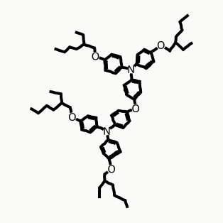 CCCCC(CC)COc1ccc(N(c2ccc(OCC(CC)CCCC)cc2)c2ccc(Oc3ccc(N(c4ccc(OCC(CC)CCCC)cc4)c4ccc(OCC(CC)CCCC)cc4)cc3)cc2)cc1